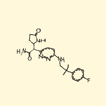 CC(C)(CNc1ccc(C(C(N)=O)C2CCC(=O)N2)nn1)c1ccc(F)cc1